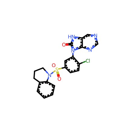 O=c1[nH]c2cncnc2n1-c1cc(S(=O)(=O)N2CCCc3ccccc32)ccc1Cl